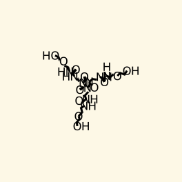 O=C(NCCOCCO)NCCn1c(=O)n(CCNC(=O)NCCOCCO)c(=O)n(CCNC(=O)NCCOCCO)c1=O